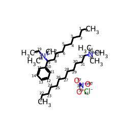 CCCCCCCCCC(c1ccccc1)[N+](C)(C)CC.CCCCCCCCCCCC[N+](C)(C)C.O=[N+]([O-])[O-].[Cl-]